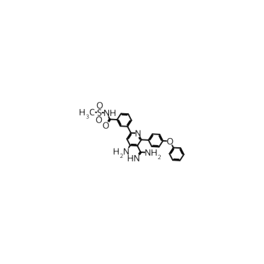 CS(=O)(=O)NC(=O)c1cccc(-c2cc(N)c(C(=N)N)c(-c3ccc(Oc4ccccc4)cc3)n2)c1